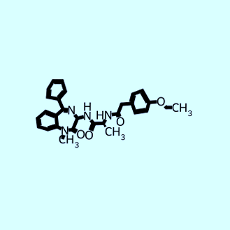 CCOc1ccc(CC(=O)N[C@@H](C)C(=O)NC2N=C(c3ccccc3)c3ccccc3N(C)C2=O)cc1